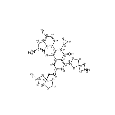 Nc1nc2c(-c3c(F)c4nc(OC[C@@]56CCCN5C[C@H](F)C6)nc(N5CCC6(CNC6)C5)c4c(=O)n3C3CC3)ccc(F)c2s1